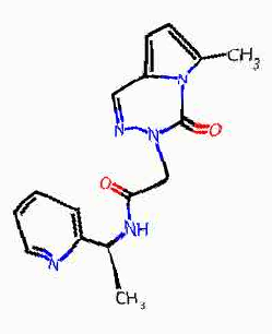 Cc1ccc2cnn(CC(=O)N[C@@H](C)c3ccccn3)c(=O)n12